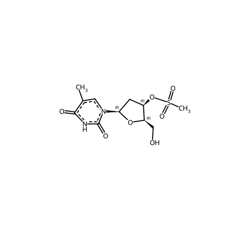 Cc1cn([C@H]2C[C@@H](OS(C)(=O)=O)[C@@H](CO)O2)c(=O)[nH]c1=O